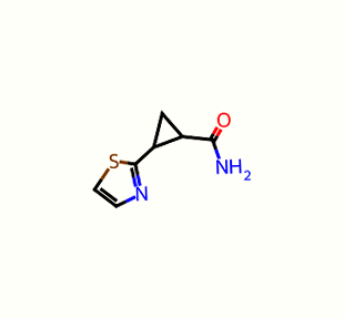 NC(=O)C1CC1c1nccs1